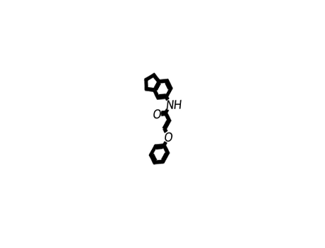 O=C(C=COc1ccccc1)Nc1ccc2c(c1)CCC2